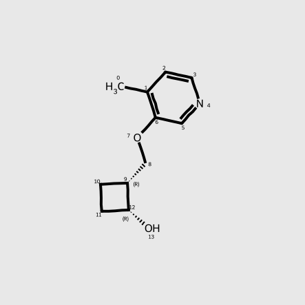 Cc1ccncc1OC[C@H]1CC[C@H]1O